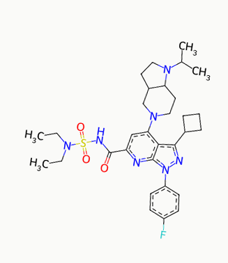 CCN(CC)S(=O)(=O)NC(=O)c1cc(N2CCC3C(CCN3C(C)C)C2)c2c(C3CCC3)nn(-c3ccc(F)cc3)c2n1